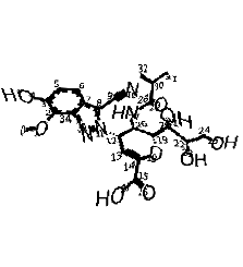 COc1c(O)ccc2c(C#N)n([C@H]3C=C(C(=O)O)O[C@@H]([C@H](O)[C@H](O)CO)[C@@H]3NC(=O)C(C)C)nc12